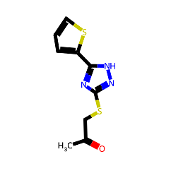 CC(=O)CSc1n[nH]c(-c2cccs2)n1